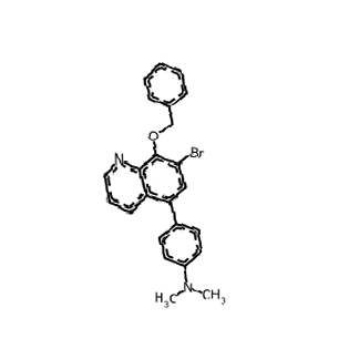 CN(C)c1ccc(-c2cc(Br)c(OCc3ccccc3)c3ncccc23)cc1